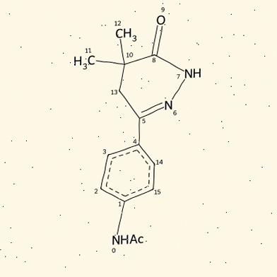 CC(=O)Nc1ccc(C2=NNC(=O)C(C)(C)C2)cc1